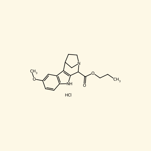 CCCOC(=O)C1c2[nH]c3ccc(OC)cc3c2C2CCN1C2.Cl